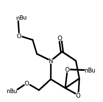 CCCCOCCN1C(=O)CC2OC2(OCCCC)C1COCCCC